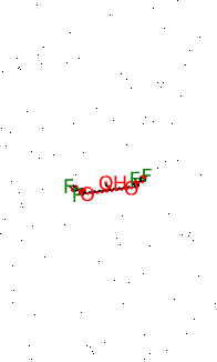 OCCC(CCCCCCCCOc1ccc(-c2ccc(F)cc2)c(F)c1)CCCCCCCCOc1ccc(-c2ccc(F)cc2)c(F)c1